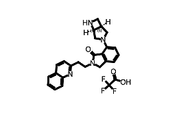 O=C(O)C(F)(F)F.O=C1c2c(cccc2N2C[C@@H]3CN[C@@H]3C2)CN1CCc1ccc2ccccc2n1